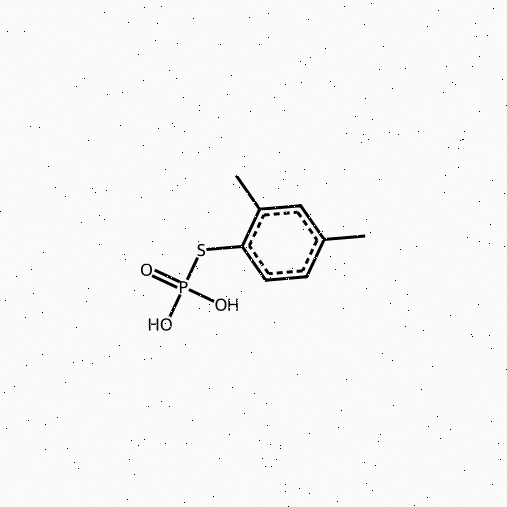 Cc1ccc(SP(=O)(O)O)c(C)c1